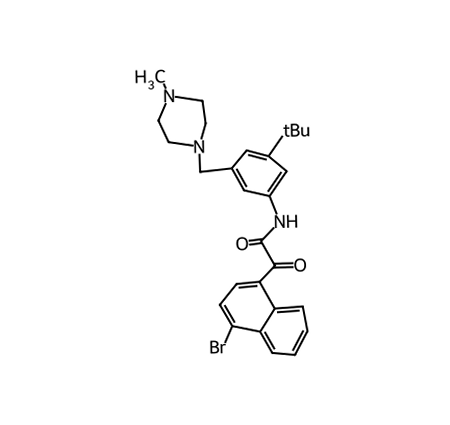 CN1CCN(Cc2cc(NC(=O)C(=O)c3ccc(Br)c4ccccc34)cc(C(C)(C)C)c2)CC1